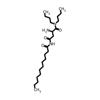 CCCCCCCCCCCC(=O)NC(=O)CC(N)C(=O)N(CCCC)CCCC